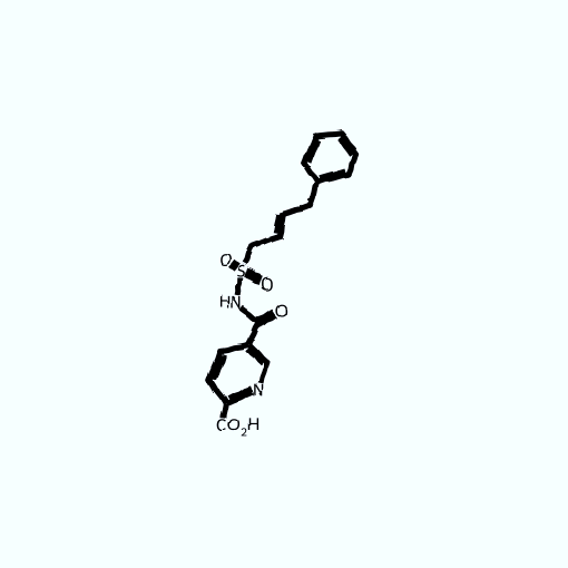 O=C(NS(=O)(=O)CC=CCc1ccccc1)c1ccc(C(=O)O)nc1